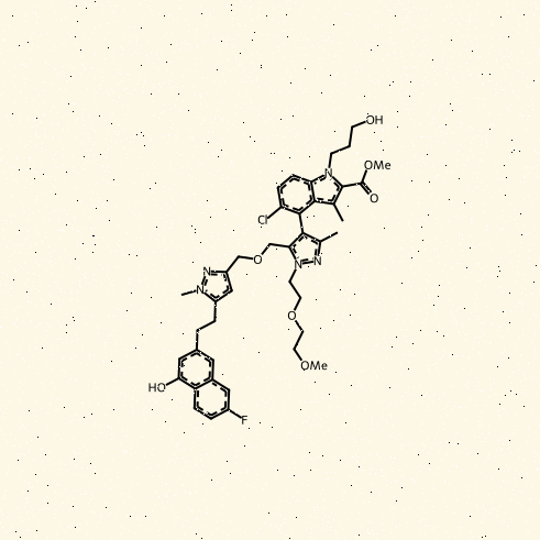 COCCOCCn1nc(C)c(-c2c(Cl)ccc3c2c(C)c(C(=O)OC)n3CCCO)c1COCc1cc(CCc2cc(O)c3ccc(F)cc3c2)n(C)n1